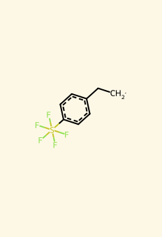 [CH2]Cc1ccc(S(F)(F)(F)(F)F)cc1